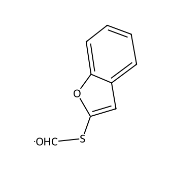 O=[C]Sc1cc2ccccc2o1